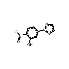 O=[N+]([O-])c1ccc(-n2nccn2)cc1O